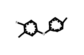 [CH2]c1ccc(Oc2ccc(F)c(C)c2)cc1